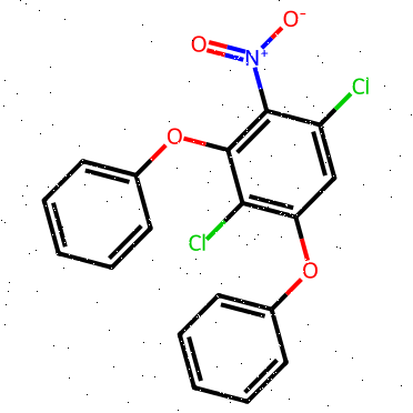 O=[N+]([O-])c1c(Cl)cc(Oc2ccccc2)c(Cl)c1Oc1ccccc1